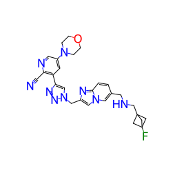 N#Cc1ncc(N2CCOCC2)cc1-c1cn(Cc2cn3cc(CNCC45CC(F)(C4)C5)ccc3n2)nn1